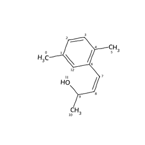 Cc1ccc(C)c(/C=C\C(C)O)c1